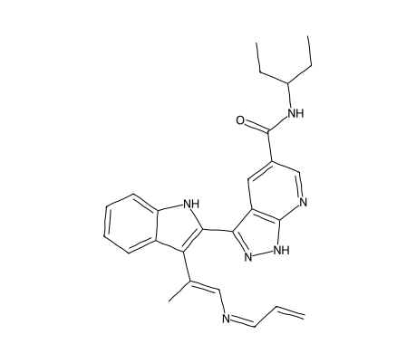 C=C/C=N\C=C(/C)c1c(-c2n[nH]c3ncc(C(=O)NC(CC)CC)cc23)[nH]c2ccccc12